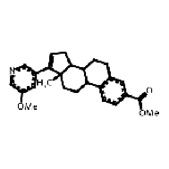 COC(=O)c1ccc2c(c1)CCC1C2CCC2(C)C(c3cncc(OC)c3)=CCC12